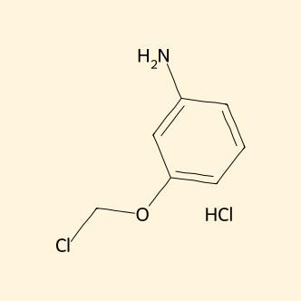 Cl.Nc1cccc(OCCl)c1